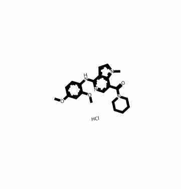 COc1ccc(Nc2ncc(C(=O)N3CCCCC3)c3c2ccn3C)c(OC)c1.Cl